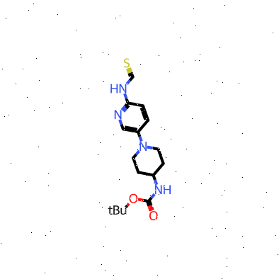 CC(C)(C)OC(=O)NC1CCN(c2ccc(NC=S)nc2)CC1